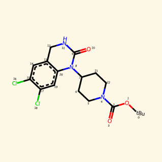 CC(C)(C)OC(=O)N1CCC(N2C(=O)NCc3cc(Cl)c(Cl)cc32)CC1